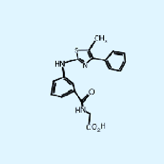 Cc1sc(Nc2cccc(C(=O)NCC(=O)O)c2)nc1-c1ccccc1